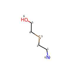 [N]CCSCCO